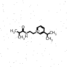 CC(C)C(=O)NCC[n+]1cccc(C(C)C)c1